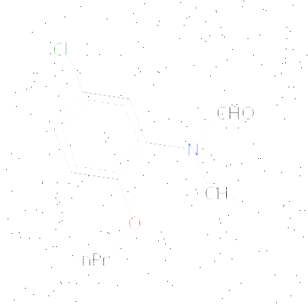 CCCOc1ccc(Cl)cc1N(C)C=O